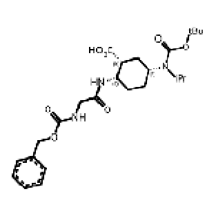 CC(C)N(C(=O)OC(C)(C)C)[C@@H]1CC[C@H](NC(=O)CNC(=O)OCc2ccccc2)[C@H](C(=O)O)C1